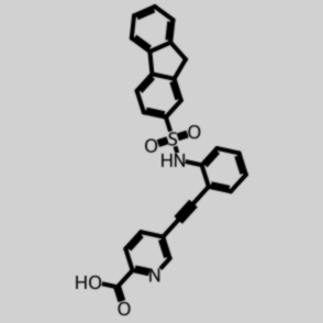 O=C(O)c1ccc(C#Cc2ccccc2NS(=O)(=O)c2ccc3c(c2)Cc2ccccc2-3)cn1